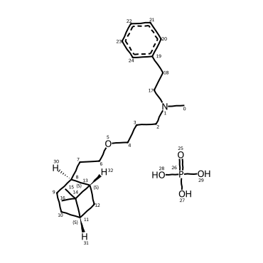 CN(CCCOCC[C@@H]1CC[C@H]2C[C@@H]1C2(C)C)CCc1ccccc1.O=P(O)(O)O